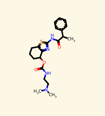 CC(C(=O)Nc1nc2c(s1)CCCC2OC(=O)NCCN(C)C)c1ccccc1